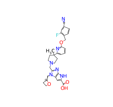 CC1(c2cccc(OCc3ccc(C#N)cc3F)n2)CCN(Cc2nc3[nH]c(C(=O)O)cc3n2C[C@@H]2CCO2)CC1